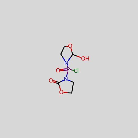 O=C1OCCN1P(=O)(Cl)N1CCOC1O